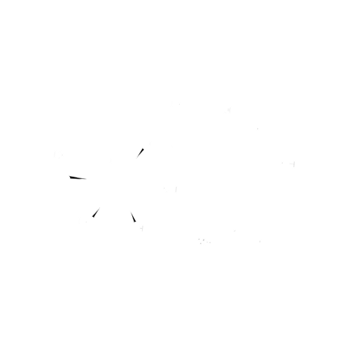 COC(=O)c1cc(O)c(=O)c2c(O)c(O)c(O[C@@H]3O[C@H](CO)[C@H](O)[C@H](O)[C@H]3O)cc2c1